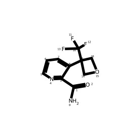 NC(=O)c1ncccc1C1(C(F)(F)F)COC1